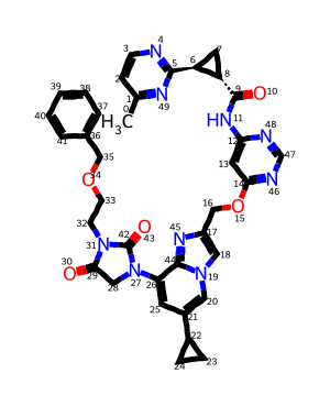 Cc1ccnc([C@H]2C[C@@H]2C(=O)Nc2cc(OCc3cn4cc(C5CC5)cc(N5CC(=O)N(CCOCc6ccccc6)C5=O)c4n3)ncn2)n1